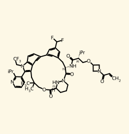 C=CC(=O)N1CC(OC[C@H](C(=O)N[C@H]2Cc3cc(cc(C(F)F)c3)-c3ccc4c(c3)c(c(-c3cccnc3C(C)C)n4CC(F)(F)F)CC(C)(C)COC(=O)[C@@H]3CCCN(N3)C2=O)C(C)C)C1